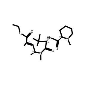 CCOC(=O)/C(C)=C/[C@H](C)N(C)C(=O)[C@@H](NC(=O)[C@H]1CCCCN1C)C(C)(C)C